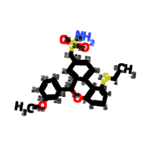 CCSc1cccc2c1-c1ccc(CS(N)(=O)=O)cc1C(c1cccc(OC)c1)O2